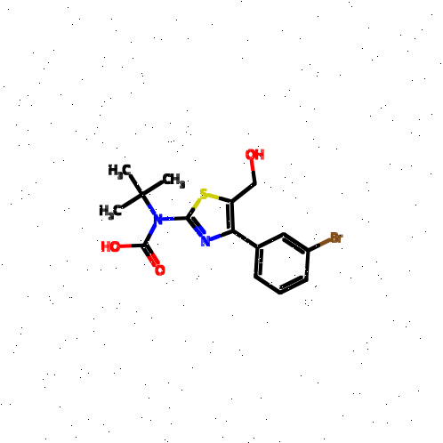 CC(C)(C)N(C(=O)O)c1nc(-c2cccc(Br)c2)c(CO)s1